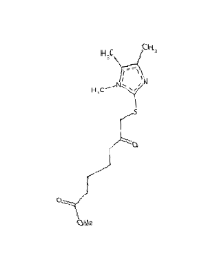 COC(=O)CCCCC(=O)CSc1nc(C)c(C)n1C